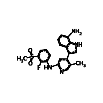 Cc1cnc(Nc2cccc(S(C)(=O)=O)c2F)cc1-c1c[nH]c2c(N)cccc12